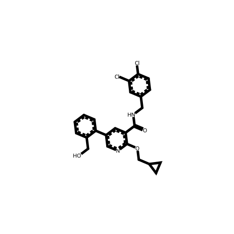 O=C(NCc1ccc(Cl)c(Cl)c1)c1cc(-c2ccccc2CO)cnc1OCC1CC1